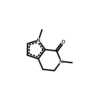 CN1CCc2ccn(C)c2C1=O